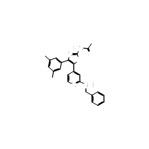 CC(=O)Nc1nc(-c2cc(C)cc(C)c2)c(-c2ccnc(NCc3ccccc3)c2)s1